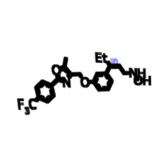 CC/C(=C/CNO)c1cccc(OCc2nc(-c3ccc(C(F)(F)F)cc3)oc2C)c1